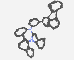 c1cc(-c2cc3c4c(cccc4c2)-c2ccccc2-3)cc(N2c3ccccc3-c3ccc4ccccc4c3-n3c2cc2ccccc23)c1